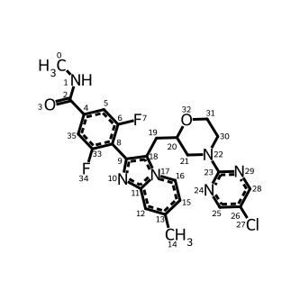 CNC(=O)c1cc(F)c(-c2nc3cc(C)ccn3c2CC2CN(c3ncc(Cl)cn3)CCO2)c(F)c1